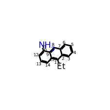 CCc1c2ccccc2cc2c(N)cccc12